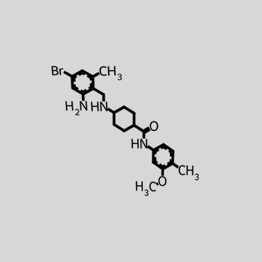 COc1cc(NC(=O)C2CCC(NCc3c(C)cc(Br)cc3N)CC2)ccc1C